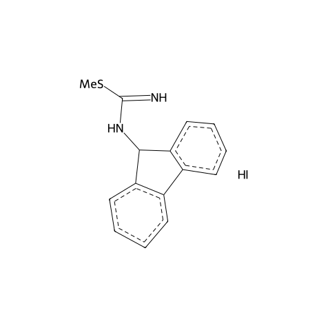 CSC(=N)NC1c2ccccc2-c2ccccc21.I